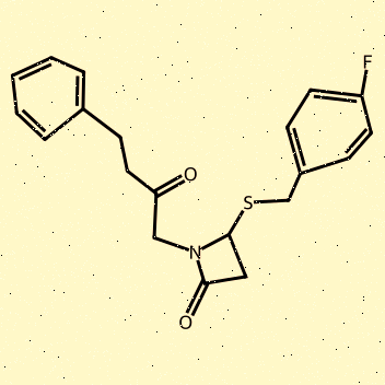 O=C(CCc1ccccc1)CN1C(=O)CC1SCc1ccc(F)cc1